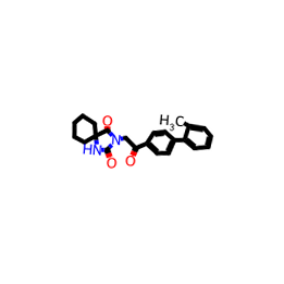 Cc1ccccc1-c1ccc(C(=O)CN2C(=O)NC3(CCCCC3)C2=O)cc1